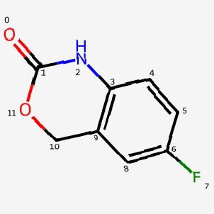 O=C1Nc2ccc(F)cc2CO1